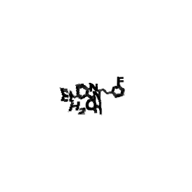 C=C1NC(CCc2cccc(F)c2)=Nc2ccc(CC)cc21